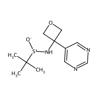 CC(C)(C)[S+]([O-])NC1(c2cncnc2)COC1